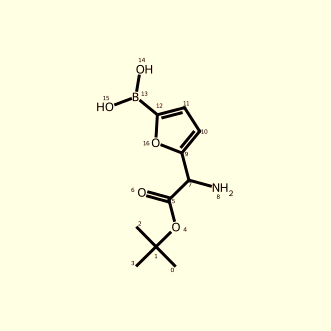 CC(C)(C)OC(=O)C(N)c1ccc(B(O)O)o1